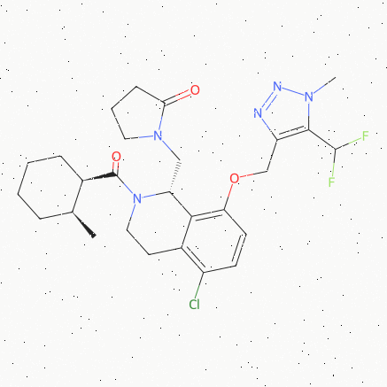 C[C@H]1CCCC[C@H]1C(=O)N1CCc2c(Cl)ccc(OCc3nnn(C)c3C(F)F)c2[C@H]1CN1CCCC1=O